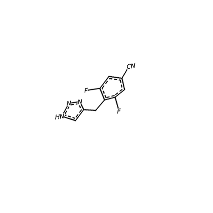 N#Cc1cc(F)c(Cc2c[nH]nn2)c(F)c1